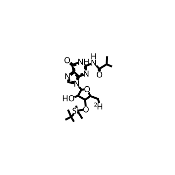 [2H]CC1OC(n2cnc3c(=O)[nH]c(NC(=O)C(C)C)nc32)C(O)C1O[Si](C)(C)C(C)(C)C